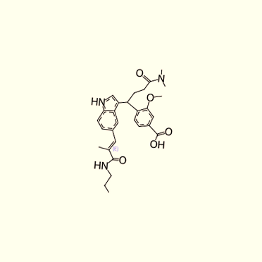 CCCNC(=O)/C(C)=C/c1ccc2[nH]cc(C(CCC(=O)N(C)C)c3ccc(C(=O)O)cc3OC)c2c1